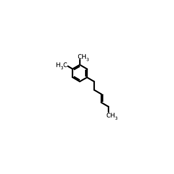 CC/C=C/CCc1ccc(C)c(C)c1